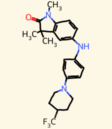 CN1C(=O)C(C)(C)c2cc(Nc3ccc(N4CCC(C(F)(F)F)CC4)cc3)ccc21